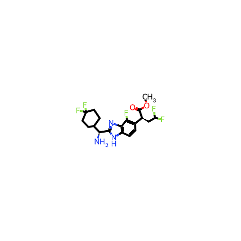 COC(=O)[C@@H](CC(F)F)c1ccc2[nH]c([C@@H](N)C3CCC(F)(F)CC3)nc2c1F